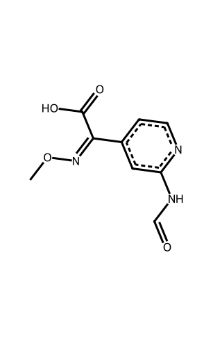 CON=C(C(=O)O)c1ccnc(NC=O)c1